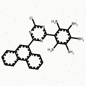 Bc1c(B)c(B)c(-c2nc(Cl)nc(-c3cc4ccccc4c4ccccc34)n2)c(B)c1B